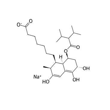 CC(C)C(C(=O)O[C@H]1C[C@H](O)C(O)=C2C=C(O)[C@@H](C)[C@@H](CCCCCCC(=O)[O-])[C@H]21)C(C)C.[Na+]